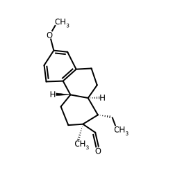 CC[C@H]1[C@@H]2CCc3cc(OC)ccc3[C@H]2CC[C@]1(C)C=O